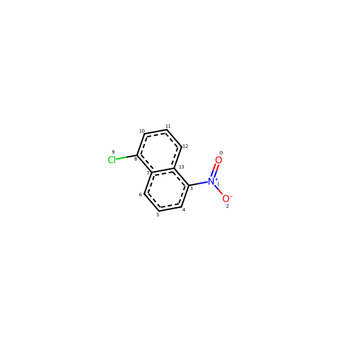 O=[N+]([O-])c1cccc2c(Cl)cccc12